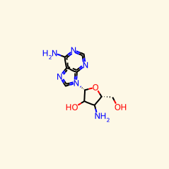 Nc1ncnc2c1ncn2[C@@H]1O[C@H](CO)C(N)C1O